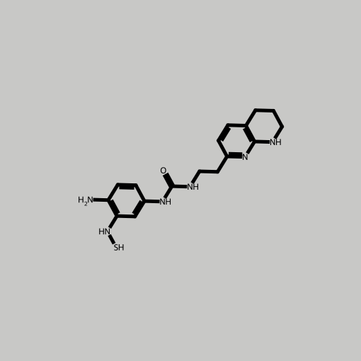 Nc1ccc(NC(=O)NCCc2ccc3c(n2)NCCC3)cc1NS